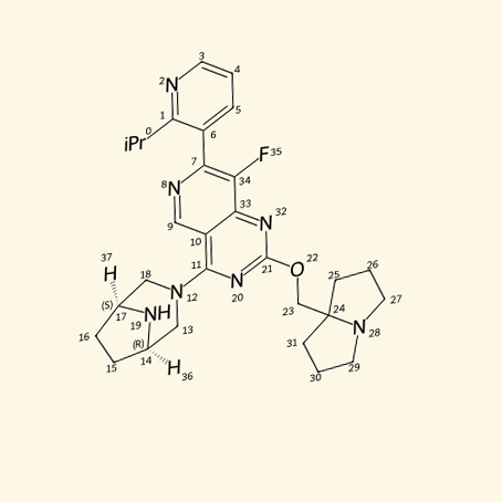 CC(C)c1ncccc1-c1ncc2c(N3C[C@H]4CC[C@@H](C3)N4)nc(OCC34CCCN3CCC4)nc2c1F